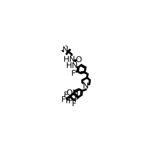 CN(C)C(C)(C)CNC(=O)Nc1ccc(CC2CCN(Cc3ccc(C(O)(C(F)(F)F)C(F)(F)F)cc3)CC2)cc1F